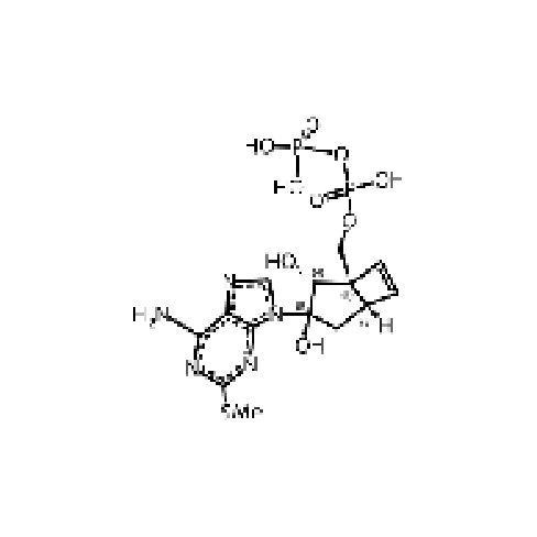 CSc1nc(N)c2ncn([C@@]3(O)C[C@H]4C=C[C@@]4(COP(=O)(O)OP(=O)(O)O)[C@H]3O)c2n1